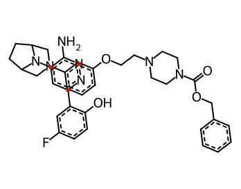 Nc1nnc(-c2cc(F)ccc2O)cc1N1C2CCC1CN(c1cccc(OCCN3CCN(C(=O)OCc4ccccc4)CC3)c1)C2